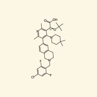 Cc1nc(C)c([C@H](OC(C)(C)C)C(=O)O)c(N2CCC(C)(C)CC2)c1-c1ccc2c(c1)CCN(Cc1c(F)cc(Cl)cc1F)C2